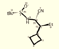 CC[C@@H](C1CCC1)[C@@H](C#N)N[S@@+]([O-])C(C)(C)C